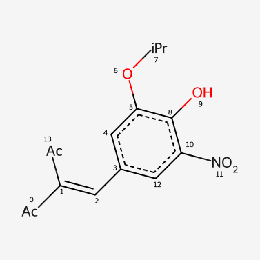 CC(=O)C(=Cc1cc(OC(C)C)c(O)c([N+](=O)[O-])c1)C(C)=O